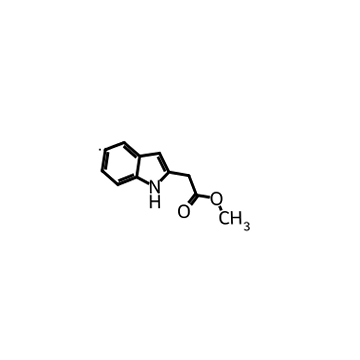 COC(=O)Cc1cc2c[c]ccc2[nH]1